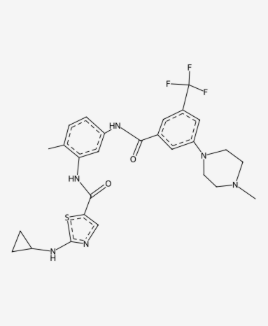 Cc1ccc(NC(=O)c2cc(N3CCN(C)CC3)cc(C(F)(F)F)c2)cc1NC(=O)c1cnc(NC2CC2)s1